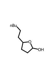 CCCCCCC1CCC(O)O1